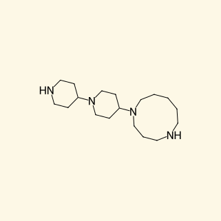 C1CCNCCCN(C2CCN(C3CCNCC3)CC2)CC1